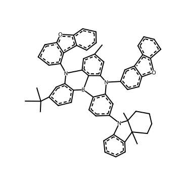 Cc1cc2c3c(c1)N(c1cccc4oc5ccccc5c14)c1cc(C(C)(C)C)ccc1B3c1ccc(N3c4ccccc4C4(C)CCCCC34C)cc1N2c1ccc2oc3ccccc3c2c1